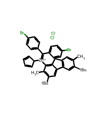 Cc1cc2c(cc1C(C)(C)C)-c1cc(C(C)(C)C)c(C)[c]([Zr+2](=[C](c3ccc(Br)cc3)c3ccc(Br)cc3)[CH]3C=CC=C3)c1C2.[Cl-].[Cl-]